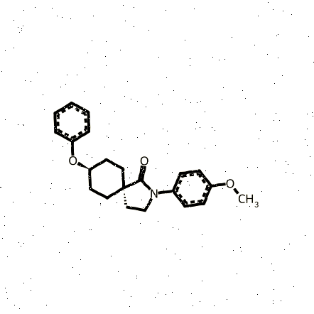 COc1ccc(N2CC[C@]3(CC[C@H](Oc4ccccc4)CC3)C2=O)cc1